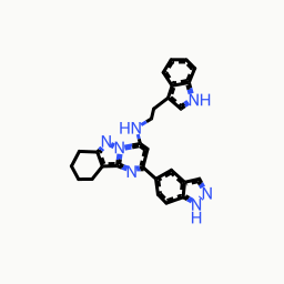 c1ccc2c(CCNc3cc(-c4ccc5[nH]ncc5c4)nc4c5c(nn34)CCCC5)c[nH]c2c1